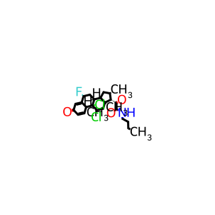 CCCCNC(=O)C(=O)[C@H]1[C@H](C)C[C@H]2[C@@H]3C[C@H](F)C4=CC(=O)C=C[C@]4(C)[C@@]3(Cl)[C@@H](Cl)C[C@@]21C